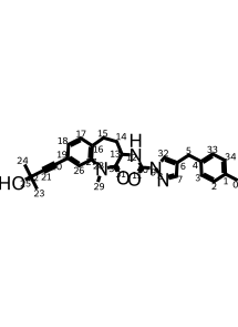 Cc1ccc(Cc2cnn(C(=O)NC3CCc4ccc(C#CC(C)(C)O)cc4N(C)C3=O)c2)cc1